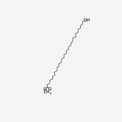 COC(=O)CCCCCCCCCCCCCCCCCCCCCCCCCCCCCCCO